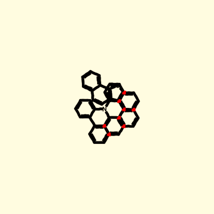 c1ccc(-c2ccccc2N(c2ccccc2-c2ccccc2)c2ccccc2-c2cccc3oc4c5ccccc5ccc4c23)cc1